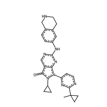 CC1(c2nccc(-n3c4nc(Nc5ccc6c(c5)CCNC6)ncc4c(=O)n3C3CC3)n2)CC1